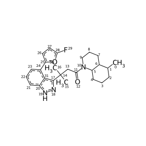 CC1CCCC2C1CCCN2C(=O)CC(C)(C)c1n[nH]c2cccc(-c3ccc(F)o3)c12